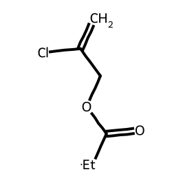 C=C(Cl)COC(=O)[CH]C